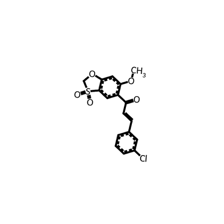 COc1cc2c(cc1C(=O)C=Cc1cccc(Cl)c1)S(=O)(=O)CO2